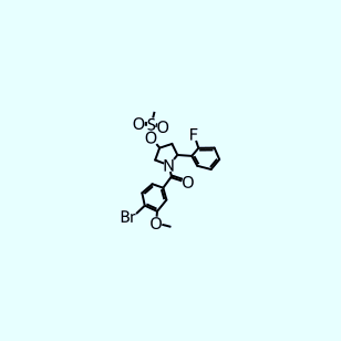 COc1cc(C(=O)N2CC(OS(C)(=O)=O)CC2c2ccccc2F)ccc1Br